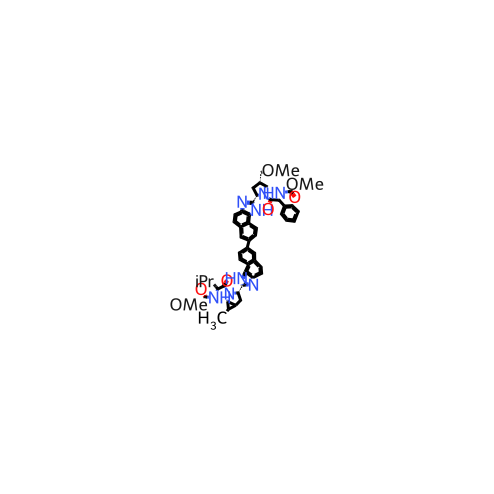 COC[C@H]1C[C@@H](c2nc3ccc4cc(-c5ccc6c(ccc7nc([C@@H]8CC9C(C)C9N8C(=O)C(NC(=O)OC)C(C)C)[nH]c76)c5)ccc4c3[nH]2)N(C(=O)[C@H](NC(=O)OC)c2ccccc2)C1